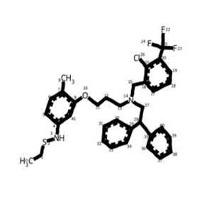 CCSNc1ccc(C)c(OCCCN(Cc2cccc(C(F)(F)F)c2Cl)CC(c2ccccc2)c2ccccc2)c1